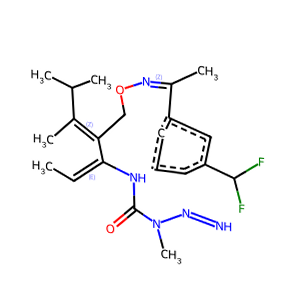 C/C=C(NC(=O)N(C)N=N)\C(CO/N=C(/C)c1cccc(C(F)F)c1)=C(/C)C(C)C